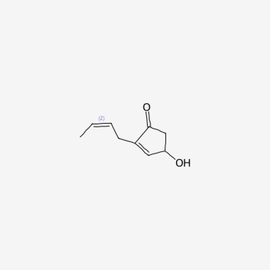 C/C=C\CC1=CC(O)CC1=O